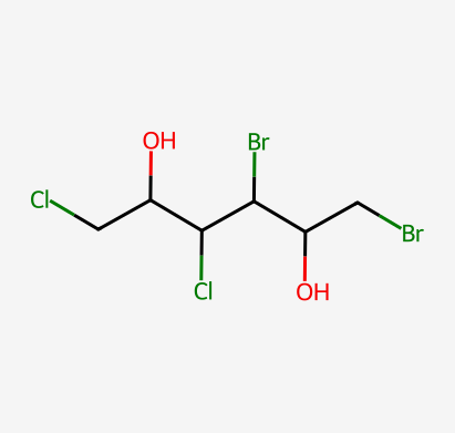 OC(CCl)C(Cl)C(Br)C(O)CBr